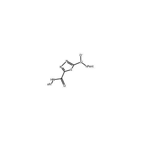 CCCCC[S+]([O-])c1nnc(C(=O)NCCC)s1